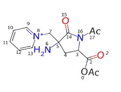 CC(=O)OC(=O)C1CC(N)(C[n+]2ccccc2)C(=O)N1C(C)=O